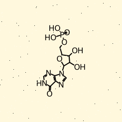 O=c1[nH]cnc2c1ncn2C1OC(COP(=O)(O)O)C(O)C1O